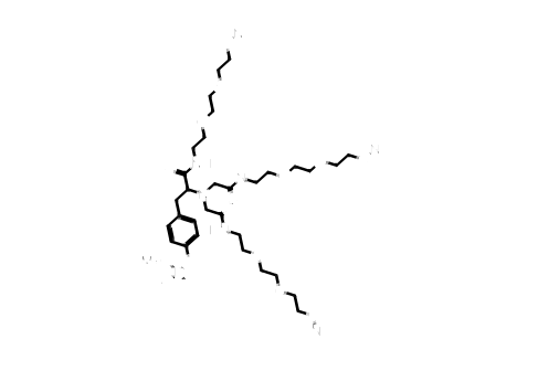 CCP(=O)(Oc1ccc(CC(C(=O)NCCOCCOCCON)N(CC(=O)NCCOCCOCCON)CC(=O)NCCOCCOCCON)cc1)SC